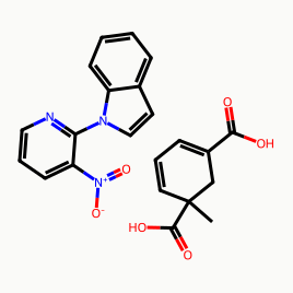 CC1(C(=O)O)C=CC=C(C(=O)O)C1.O=[N+]([O-])c1cccnc1-n1ccc2ccccc21